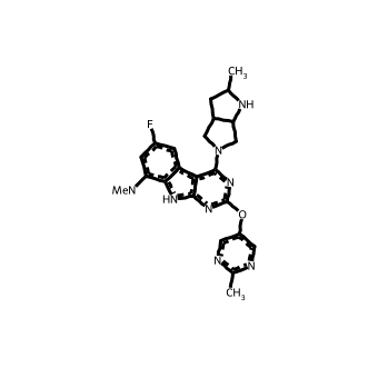 CNc1cc(F)cc2c1[nH]c1nc(Oc3cnc(C)nc3)nc(N3CC4CC(C)NC4C3)c12